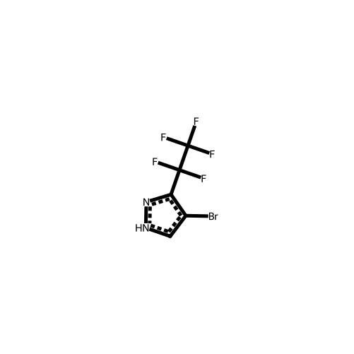 FC(F)(F)C(F)(F)c1n[nH]cc1Br